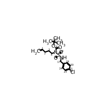 C=CCCCN(C(=O)OC(C)(C)C)S(=O)(=O)NCc1ccc(Cl)cc1